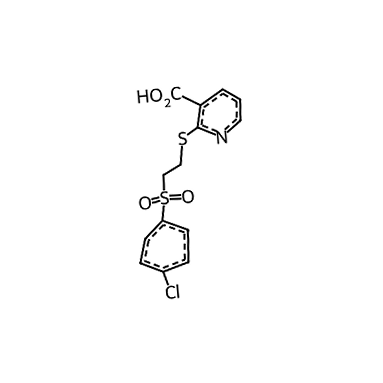 O=C(O)c1cccnc1SCCS(=O)(=O)c1ccc(Cl)cc1